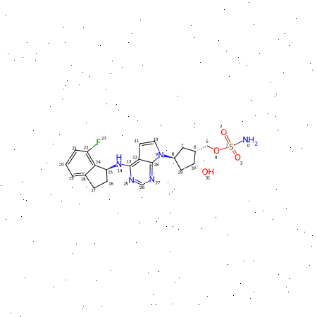 NS(=O)(=O)OC[C@H]1C[C@H](n2ccc3c(N[C@H]4CCc5cccc(F)c54)ncnc32)C[C@H]1O